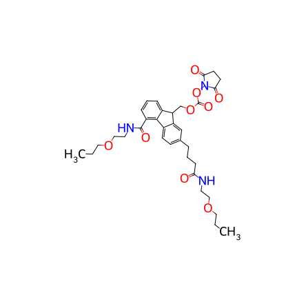 CCCOCCNC(=O)CCCc1ccc2c(c1)C(COC(=O)ON1C(=O)CCC1=O)c1cccc(C(=O)NCCOCCC)c1-2